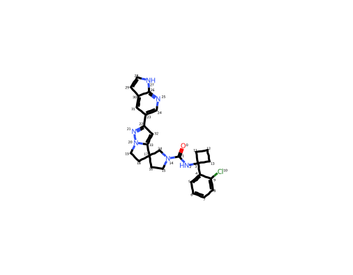 O=C(NC1(c2ccccc2Cl)CCC1)N1CCC2(CCn3nc(-c4cnc5[nH]ccc5c4)cc32)C1